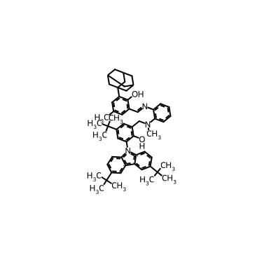 Cc1cc(/C=N/c2ccccc2N(C)Cc2cc(C(C)(C)C)cc(-n3c4ccc(C(C)(C)C)cc4c4cc(C(C)(C)C)ccc43)c2O)c(O)c(C23CC4CC(CC(C4)C2)C3)c1